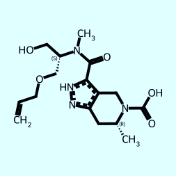 C=CCOC[C@H](CO)N(C)C(=O)c1[nH]nc2c1CN(C(=O)O)[C@H](C)C2